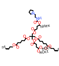 CCCCC/C=C\CCOC(=O)CCCCC(=O)OCC(COC(=O)CCCCC(=O)OCC/C=C\CCCCC)(COC(=O)CCC(CCCCCC)OC(=O)NCCN1CCCC1)COC(=O)CCC(OCCCCCCCC)OCCCCCCCC